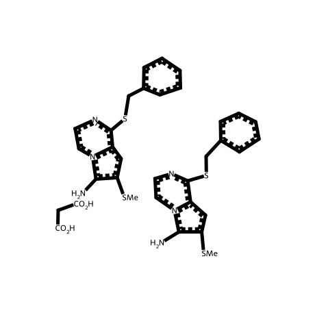 CSc1cc2c(SCc3ccccc3)nccn2c1N.CSc1cc2c(SCc3ccccc3)nccn2c1N.O=C(O)CC(=O)O